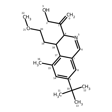 C=C(CO)C1N=Cc2cc(C(C)(C)C)cc(C)c2C1CCOC